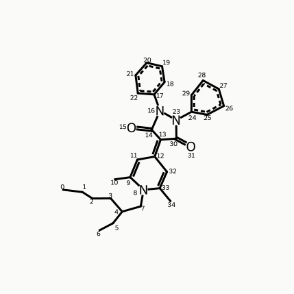 CCCCC(CC)CN1C(C)=CC(=C2C(=O)N(c3ccccc3)N(c3ccccc3)C2=O)C=C1C